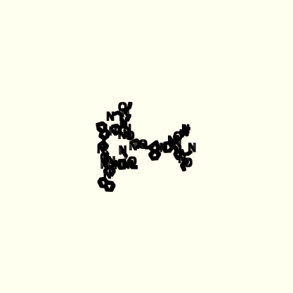 C=CC(=O)N1CCN(c2nc(OC[C@@H]3C[C@@H](OCc4ccc(N5CCc6c(nc(OCC(C)(C)N(C)C)nc6N6CCN(C(=O)C=C)C(CC#N)C6)C5)c5ccccc45)CN3C)nc3c2CCN(c2cc(C4C[C@H](COc5nc6c(c(N7CCN(C(=O)C=C)[C@@H](CC#N)C7)n5)CCN(c5cccc7ccccc57)C6)N(C)C4)cc4ccccc24)C3)CC1CC#N